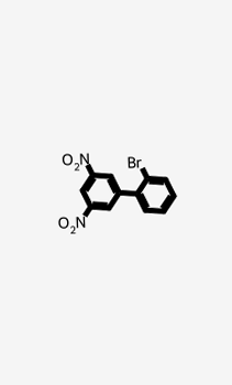 O=[N+]([O-])c1cc(-c2ccccc2Br)cc([N+](=O)[O-])c1